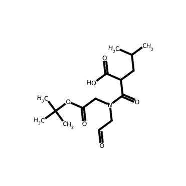 CC(C)CC(C(=O)O)C(=O)N(CC=O)CC(=O)OC(C)(C)C